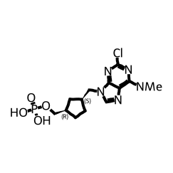 CNc1nc(Cl)nc2c1ncn2C[C@H]1CC[C@@H](COP(=O)(O)O)C1